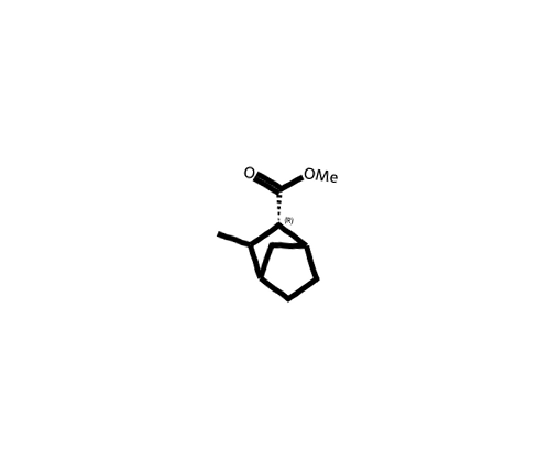 COC(=O)[C@@H]1C2CCC(C2)C1C